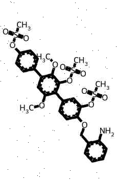 COc1cc(-c2ccc(OS(C)(=O)=O)cc2)c(OC)c(OS(C)(=O)=O)c1-c1ccc(OCc2ccccc2N)c(OS(C)(=O)=O)c1